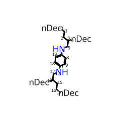 CCCCCCCCCCCCC(CCCCCCCCCC)CNc1ccc(NCC(CCCCCCCCCC)CCCCCCCCCCCC)cc1